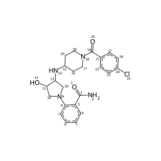 NC(=O)c1ccccc1N1CC(O)C(NC2CCN(C(=O)c3ccc(Cl)cc3)CC2)C1